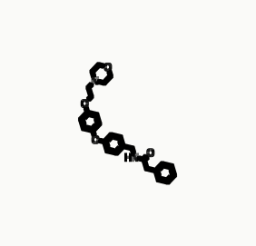 O=C(Cc1ccccc1)NCc1ccc(Oc2ccc(OCCN3CCOCC3)cc2)cc1